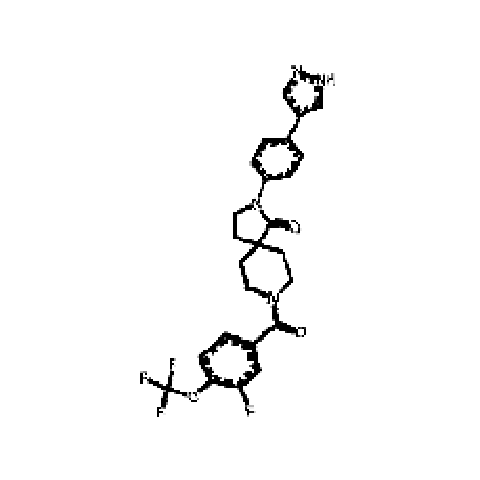 O=C(c1ccc(OC(F)(F)F)c(F)c1)N1CCC2(CC1)CCN(c1ccc(-c3cn[nH]c3)cc1)C2=O